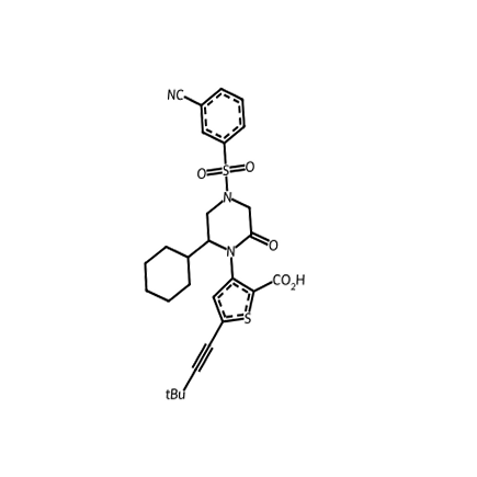 CC(C)(C)C#Cc1cc(N2C(=O)CN(S(=O)(=O)c3cccc(C#N)c3)CC2C2CCCCC2)c(C(=O)O)s1